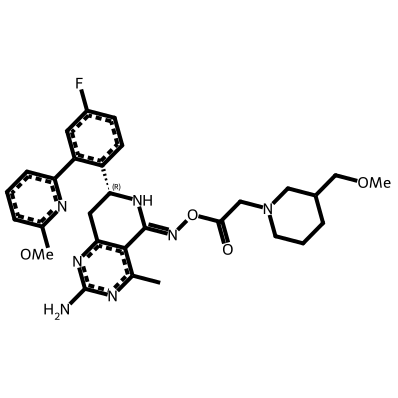 COCC1CCCN(CC(=O)ON=C2N[C@@H](c3ccc(F)cc3-c3cccc(OC)n3)Cc3nc(N)nc(C)c32)C1